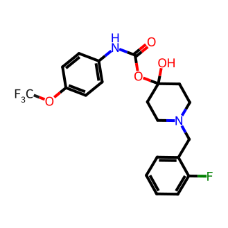 O=C(Nc1ccc(OC(F)(F)F)cc1)OC1(O)CCN(Cc2ccccc2F)CC1